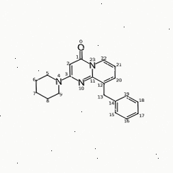 O=c1cc(N2CCCCC2)nc2c(Cc3ccccc3)cccn12